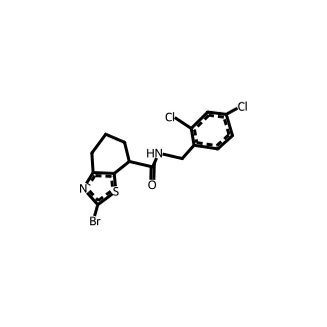 O=C(NCc1ccc(Cl)cc1Cl)C1CCCc2nc(Br)sc21